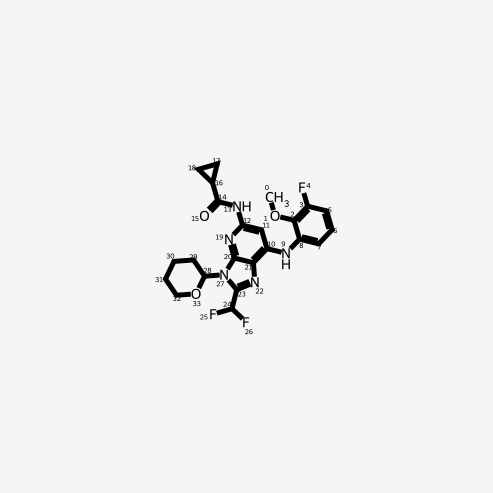 COc1c(F)cccc1Nc1cc(NC(=O)C2CC2)nc2c1nc(C(F)F)n2C1CCCCO1